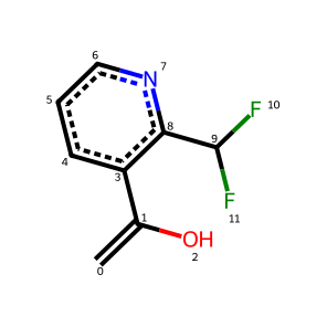 C=C(O)c1cccnc1C(F)F